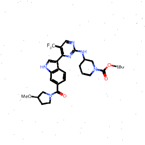 COC1CCN(C(=O)c2ccc3c(-c4nc(NC5CCCN(C(=O)OC(C)(C)C)C5)ncc4C(F)(F)F)c[nH]c3c2)C1